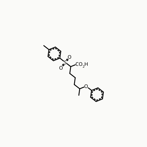 Cc1ccc(S(=O)(=O)C(CCCC(C)Oc2ccccc2)C(=O)O)cc1